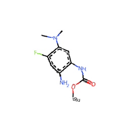 CN(C)c1cc(NC(=O)OC(C)(C)C)c(N)cc1F